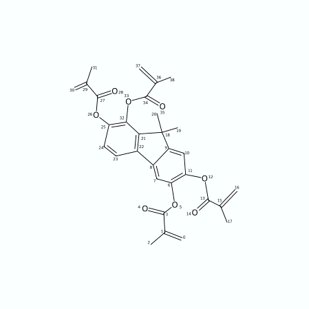 C=C(C)C(=O)Oc1cc2c(cc1OC(=O)C(=C)C)C(C)(C)c1c-2ccc(OC(=O)C(=C)C)c1OC(=O)C(=C)C